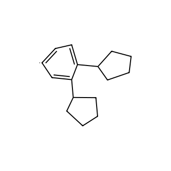 [c]1ccc(C2CCCC2)c(C2CCCC2)c1